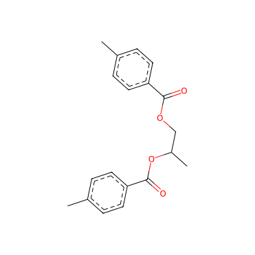 Cc1ccc(C(=O)OCC(C)OC(=O)c2ccc(C)cc2)cc1